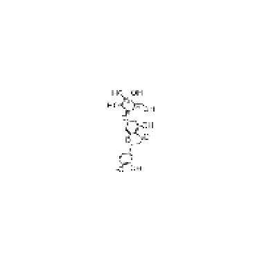 COc1ccc(C2CC(=O)c3c(O)cc(O[C@@H]4C[C@H](CO)[C@@H](O)[C@H](O)[C@H]4O)cc3O2)cc1O